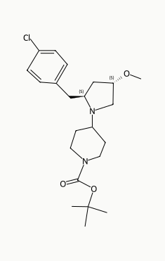 CO[C@H]1C[C@H](Cc2ccc(Cl)cc2)N(C2CCN(C(=O)OC(C)(C)C)CC2)C1